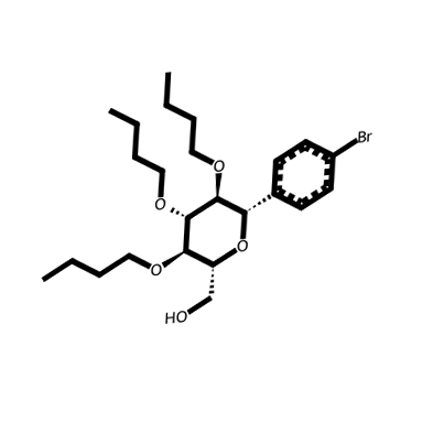 CCCCO[C@@H]1[C@@H](OCCCC)[C@H](c2ccc(Br)cc2)O[C@H](CO)[C@H]1OCCCC